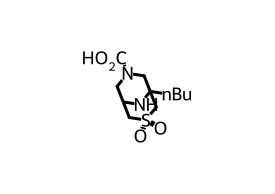 CCCCC12CN(C(=O)O)CC(CS(=O)(=O)C1)N2